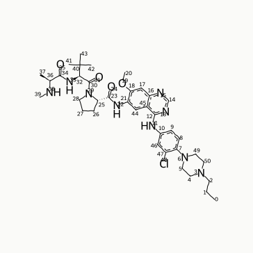 CCCN1CCN(c2ccc(Nc3ncnc4cc(OC)c(NC(=O)[C@@H]5CCCN5C(=O)[C@@H](NC(=O)[C@H](C)NC)C(C)(C)C)cc34)cc2Cl)CC1